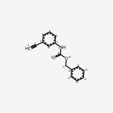 C#Cc1cccc(NC(=O)OCc2ccccc2)c1